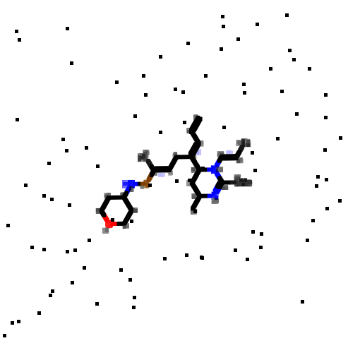 C=C/C=C(\C/C=C(/SNC1CCOCC1)C(C)C)C1CC(C)N=C(SC)N1/C=C/CC